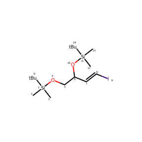 CC(C)(C)[Si](C)(C)OCC(C=CI)O[Si](C)(C)C(C)(C)C